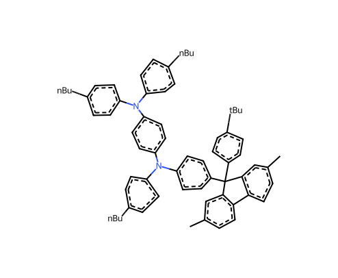 CCCCc1ccc(N(c2ccc(CCCC)cc2)c2ccc(N(c3ccc(CCCC)cc3)c3ccc(C4(c5ccc(C(C)(C)C)cc5)c5cc(C)ccc5-c5ccc(C)cc54)cc3)cc2)cc1